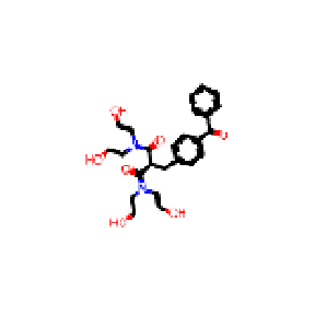 O=C(c1ccccc1)c1ccc(CC(C(=O)N(CCO)CCO)C(=O)N(CCO)CCO)cc1